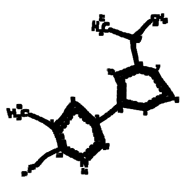 Cc1cc(-c2cccc(C(C)C)c2)cnc1F